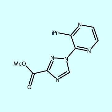 COC(=O)c1ncn(-c2nccnc2C(C)C)n1